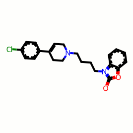 O=c1oc2ccccc2n1CCCCN1CC=C(c2ccc(Cl)cc2)CC1